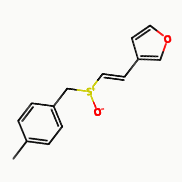 Cc1ccc(C[S+]([O-])C=Cc2ccoc2)cc1